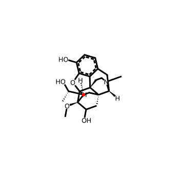 CO[C@]12C(O)C[C@@]3(C[C@@H]1[C@H](C)O)[C@H]1Cc4ccc(O)c5c4[C@@]3(CCN1C)[C@H]2O5